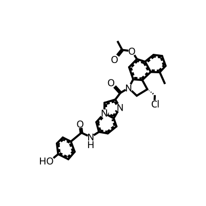 CC(=O)Oc1cc2c(c3c(C)cccc13)[C@H](CCl)CN2C(=O)c1cn2cc(NC(=O)c3ccc(O)cc3)ccc2n1